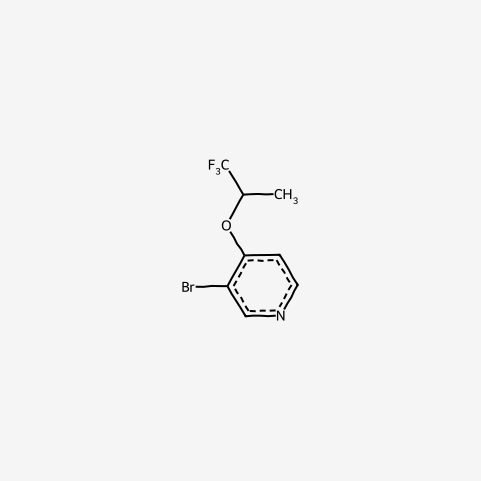 CC(Oc1ccncc1Br)C(F)(F)F